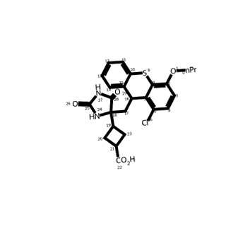 CCCOc1ccc(Cl)c2c1Sc1ccccc1C2CC1(C2CC(C(=O)O)C2)NC(=O)NC1=O